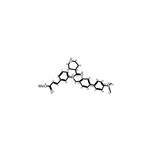 COC(=O)/C=C/c1cccc(N(Cc2ccc(-c3ccc(N(C)C)cc3)cc2)C(=O)C2CCOCC2)c1